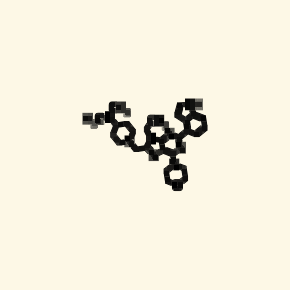 CCn1c(CN2CCC(N(C)C)CC2)nc2c(N3CCOCC3)nc(-c3cccc4[nH]ccc34)nc21